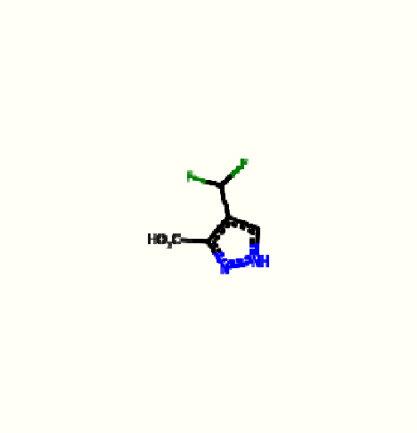 O=C(O)c1n[nH]cc1C(F)F